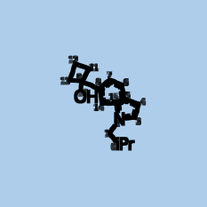 CC(C)Cn1ccc2ccc(C3(O)CCC3)cc21